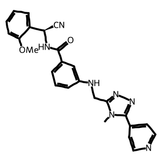 COc1ccccc1[C@@H](C#N)NC(=O)c1cccc(NCc2nnc(-c3ccncc3)n2C)c1